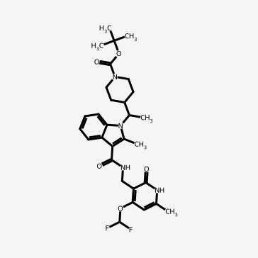 Cc1cc(OC(F)F)c(CNC(=O)c2c(C)n(C(C)C3CCN(C(=O)OC(C)(C)C)CC3)c3ccccc23)c(=O)[nH]1